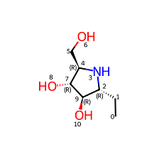 CC[C@H]1N[C@H](CO)[C@@H](O)[C@@H]1O